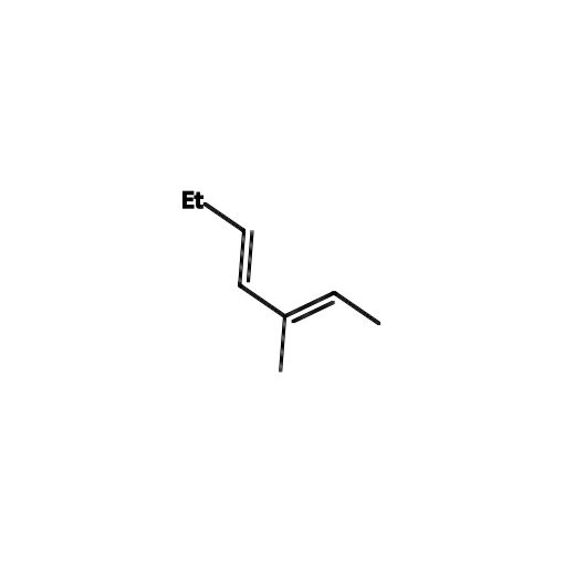 CC=C(C)C=CCC